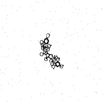 COc1cc(OC)c(S(=O)(=O)OC2C3C(=O)C4C(=O)N(OS(=O)(=O)c5c(OC)cc(OC)cc5OC)C(=O)C4C3C[N+]2=O)c(OC)c1